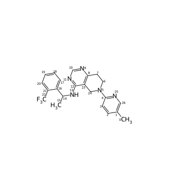 Cc1ccc(N2CCc3ncnc(NC(C)c4ccccc4C(F)(F)F)c3C2)nc1